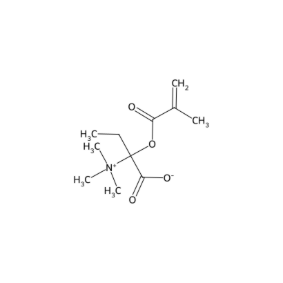 C=C(C)C(=O)OC(CC)(C(=O)[O-])[N+](C)(C)C